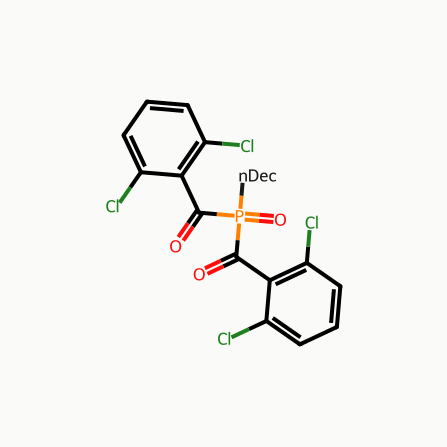 CCCCCCCCCCP(=O)(C(=O)c1c(Cl)cccc1Cl)C(=O)c1c(Cl)cccc1Cl